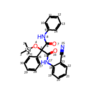 C[Si](C)(C)OC(C(=O)Nc1ccccc1)(C(=O)Nc1ccccc1C#N)c1ccccc1